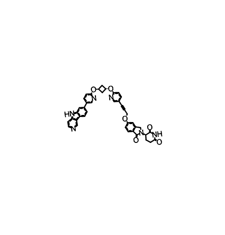 O=C1CCC(N2Cc3cc(OCC#Cc4ccc(O[C@H]5C[C@H](Oc6ccc(-c7ccc8c(c7)[nH]c7ccncc78)cn6)C5)nc4)ccc3C2=O)C(=O)N1